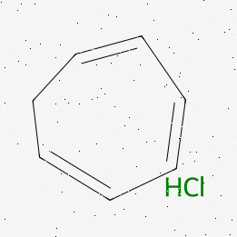 C1=CC=CCC=C1.Cl